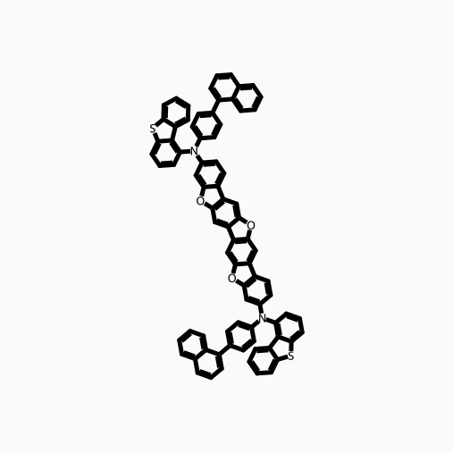 c1ccc2c(-c3ccc(N(c4ccc5c(c4)oc4cc6c(cc45)oc4cc5c(cc46)oc4cc(N(c6ccc(-c7cccc8ccccc78)cc6)c6cccc7sc8ccccc8c67)ccc45)c4cccc5sc6ccccc6c45)cc3)cccc2c1